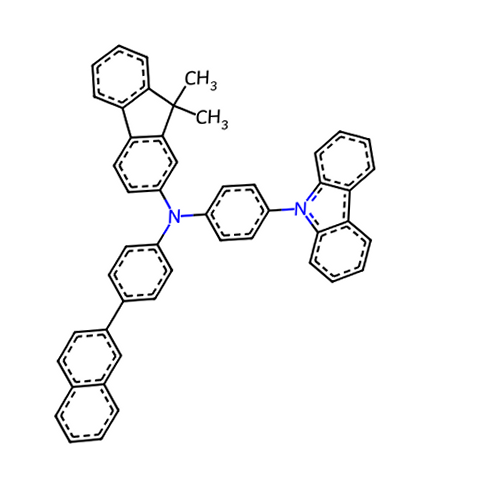 CC1(C)c2ccccc2-c2ccc(N(c3ccc(-c4ccc5ccccc5c4)cc3)c3ccc(-n4c5ccccc5c5ccccc54)cc3)cc21